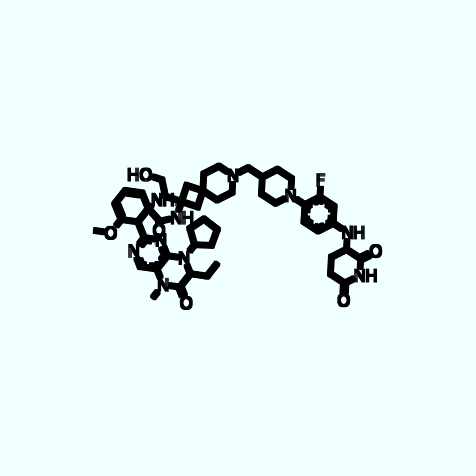 CCC1C(=O)N(C)c2cnc(C3C(OC)=CC=CC3(N)C(=O)NC3(CCO)CC4(CCN(CC5CCN(c6ccc(NC7CCC(=O)NC7=O)cc6F)CC5)CC4)C3)nc2N1C1CCCC1